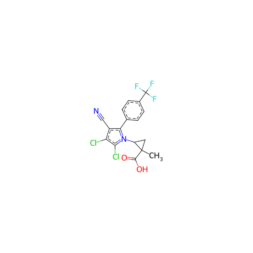 CC1(C(=O)O)CC1n1c(Cl)c(Cl)c(C#N)c1-c1ccc(C(F)(F)F)cc1